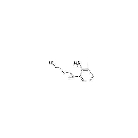 Cc1cccc(NCCCCO)c1N